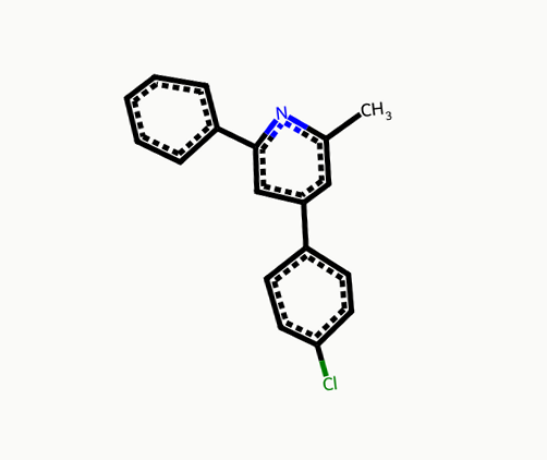 Cc1cc(-c2ccc(Cl)cc2)cc(-c2ccccc2)n1